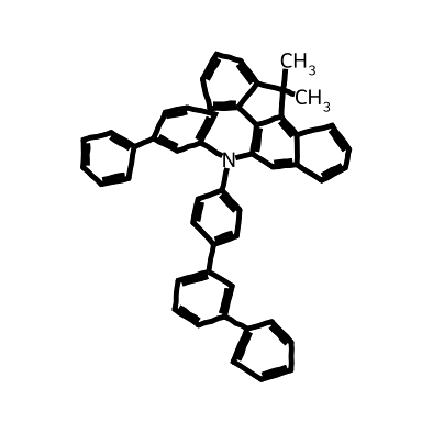 CC1(C)c2ccccc2-c2c(N(c3ccc(-c4cccc(-c5ccccc5)c4)cc3)c3cccc(-c4ccccc4)c3)cc3ccccc3c21